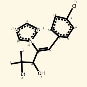 CCC(C)(C)C(O)C(=Cc1ccc(Cl)cc1)n1cncn1